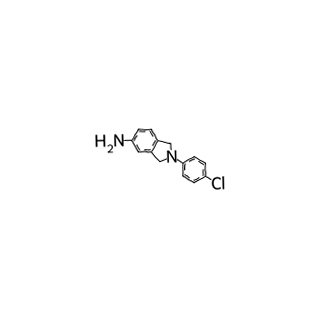 Nc1ccc2c(c1)CN(c1ccc(Cl)cc1)C2